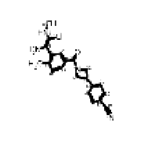 CN/C(Cl)=C(\N)c1cc(C(=O)N2CC(c3ccc(C#N)cc3)C2)ccc1C